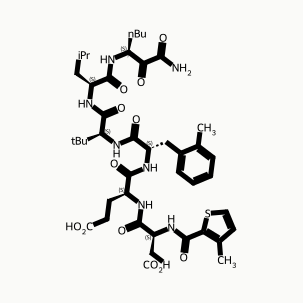 CCCC[C@H](NC(=O)[C@H](CC(C)C)NC(=O)[C@@H](NC(=O)[C@H](Cc1ccccc1C)NC(=O)[C@H](CCC(=O)O)NC(=O)[C@H](CC(=O)O)NC(=O)c1sccc1C)C(C)(C)C)C(=O)C(N)=O